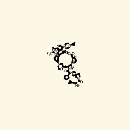 CO[C@@H](C)c1ncc(N2CCN(C3CC3)CC2)cc1-c1c2c3cc(ccc3n1CC(F)(F)F)N1CCO[C@@H](C[C@H](NC(=O)C(C3CCCC3)N3CC[C@]4(CCN(C(=O)[C@@H]5NC5C5CC5)C4)C3)C(=O)N3CCC[C@H](N3)C(=O)OCC(C)(C)C2)C1